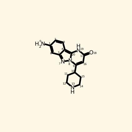 Nc1ccc2c(c1)nn1c(C3CCNCC3)cc(=O)[nH]c21